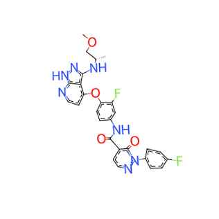 COC[C@H](C)Nc1n[nH]c2nccc(Oc3ccc(NC(=O)c4ccnn(-c5ccc(F)cc5)c4=O)cc3F)c12